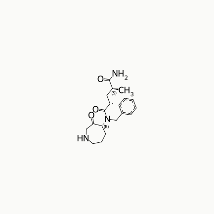 C[C@@H](C[CH]C(=O)N(Cc1ccccc1)[C@@H]1CCCNCC1=O)C(N)=O